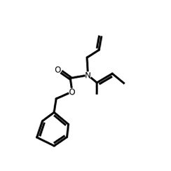 C=CCN(C(=O)OCc1ccccc1)/C(C)=C/C